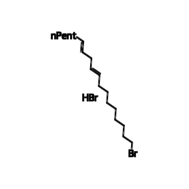 Br.CCCCCC=CCC=CCCCCCCCCBr